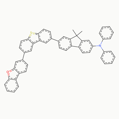 CC1(C)c2cc(-c3ccc4sc5ccc(-c6ccc7c(c6)oc6ccccc67)cc5c4c3)ccc2-c2ccc(N(c3ccccc3)c3ccccc3)cc21